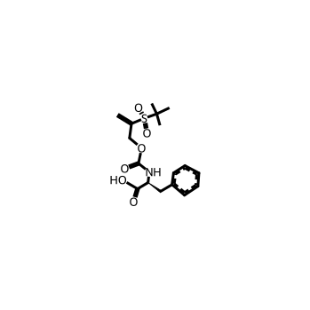 C=C(COC(=O)N[C@@H](Cc1ccccc1)C(=O)O)S(=O)(=O)C(C)(C)C